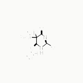 CCCC(C)C1(CC)C(=O)N=C([O-])NC1=O.N.N.[Na+]